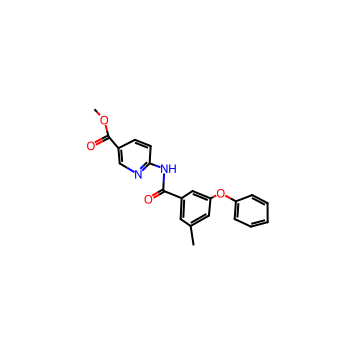 COC(=O)c1ccc(NC(=O)c2cc(C)cc(Oc3ccccc3)c2)nc1